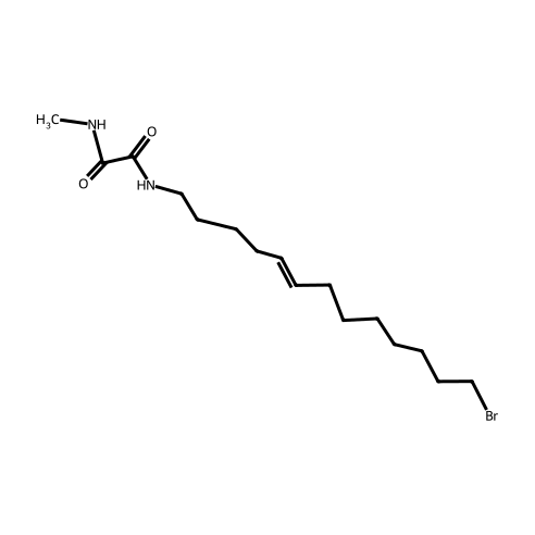 CNC(=O)C(=O)NCCCCC=CCCCCCCCBr